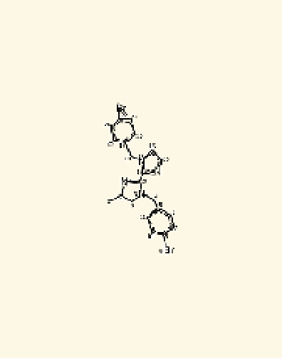 CC1CN(Cc2ccc(Br)cc2)C(c2nccn2Cc2ccc(Br)cc2)=N1